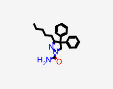 CCCCCC1=NN(C(N)=O)CC1(c1ccccc1)c1ccccc1